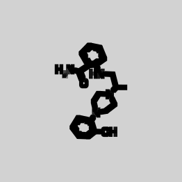 CC(CNc1ccccc1C(N)=O)N1CCN(c2ccccc2O)CC1